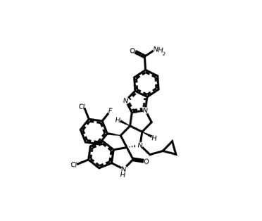 NC(=O)c1ccc2c(c1)nc1n2C[C@H]2[C@@H]1[C@H](c1cccc(Cl)c1F)[C@]1(C(=O)Nc3cc(Cl)ccc31)N2CC1CC1